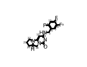 O=c1nc(NCc2cc(F)c(F)cc2F)cc2n1C[C@@H]1CCCN21